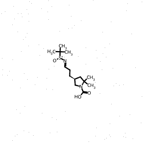 CC1(C)C[C@H](CC/C=N/[S@@+]([O-])C(C)(C)C)CN1C(=O)O